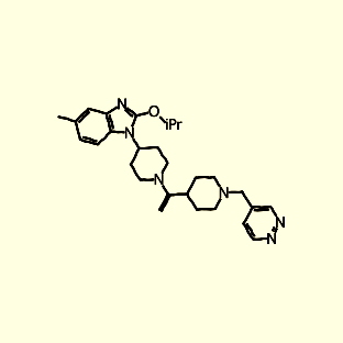 C=C(C1CCN(Cc2ccnnc2)CC1)N1CCC(n2c(OC(C)C)nc3cc(C)ccc32)CC1